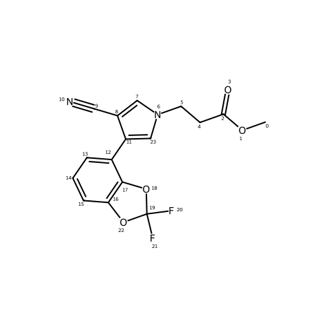 COC(=O)CCn1cc(C#N)c(-c2cccc3c2OC(F)(F)O3)c1